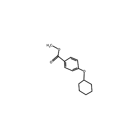 COC(=O)c1ccc(OC2CCCCC2)cc1